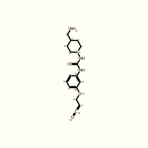 NCC1CCN(NC(=O)Nc2cccc(OCC=C=O)c2)CC1